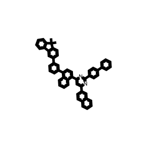 CC1(C)c2ccccc2-c2cc(-c3cccc(-c4ccc(-c5cc(-c6ccc7ccccc7c6)nc(-c6ccc(-c7ccccc7)cc6)n5)c5ccccc45)c3)ccc21